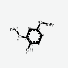 CCCOc1ccc(O)c(OCCC)c1